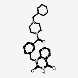 O=C(c1cccc(Cn2c(=O)[nH]c(=O)c3ccccc32)c1)N1CCN(CC2CCCCC2)CC1